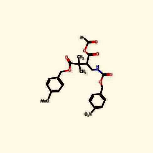 COc1ccc(COC(=O)C(C)(C)C(CNC(=O)OCc2ccc([N+](=O)[O-])cc2)C(=O)OC(=O)C(C)C)cc1